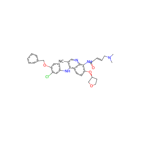 CN(C)C/C=C/C(=O)Nc1c(O[C@H]2CCOC2)ccc2c(Nc3ccc(OCc4ccccc4)c(Cl)c3)c(C#N)cnc12